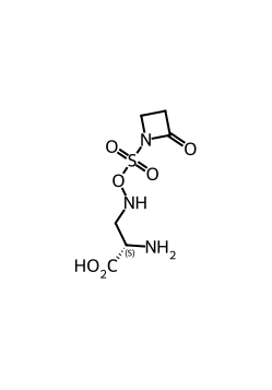 N[C@@H](CNOS(=O)(=O)N1CCC1=O)C(=O)O